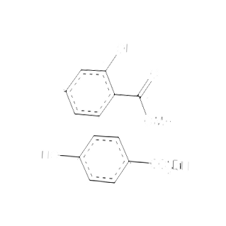 CCOC(=O)c1ccc(O)cc1.COC(=O)c1ccccc1O.[NaH]